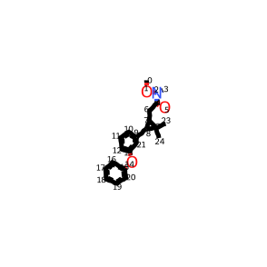 CON(C)C(=O)CC1C(c2cccc(Oc3ccccc3)c2)C1(C)C